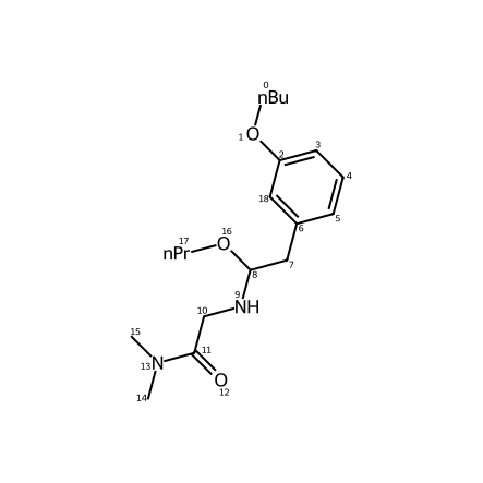 CCCCOc1cccc(CC(NCC(=O)N(C)C)OCCC)c1